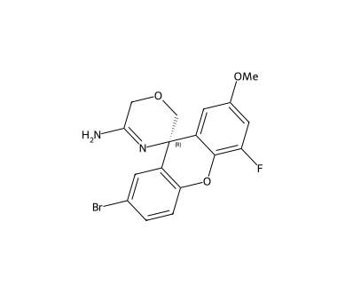 COc1cc(F)c2c(c1)[C@@]1(COCC(N)=N1)c1cc(Br)ccc1O2